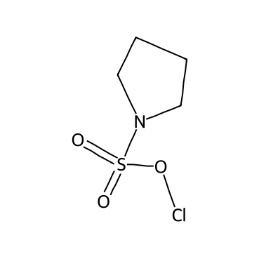 O=S(=O)(OCl)N1CCCC1